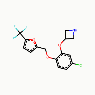 FC(F)(F)c1ccc(COc2ccc(Cl)cc2OC2CNC2)o1